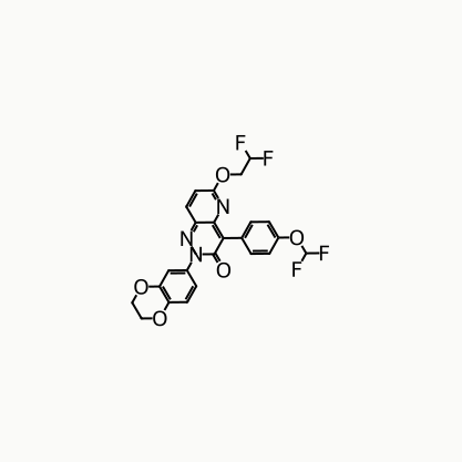 O=c1c(-c2ccc(OC(F)F)cc2)c2nc(OCC(F)F)ccc2nn1-c1ccc2c(c1)OCCO2